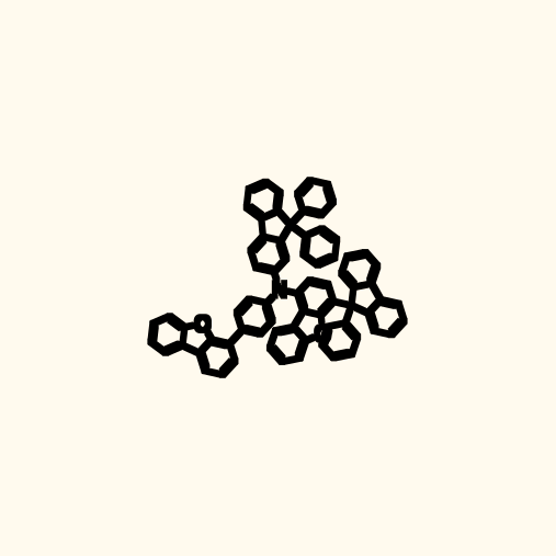 c1ccc(C2(c3ccccc3)c3ccccc3-c3ccc(N(c4ccc(-c5cccc6c5oc5ccccc56)cc4)c4ccc(C5(c6ccccc6)c6ccccc6-c6ccccc65)c5oc6ccccc6c45)cc32)cc1